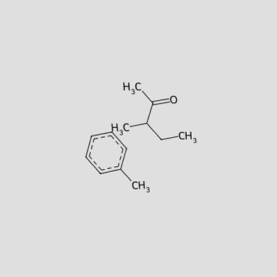 CCC(C)C(C)=O.Cc1ccccc1